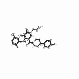 Cc1ccc(Cl)cc1Nc1c(C(=O)N2CCC(c3ccc(F)cc3)CC2)cn(CCO)c(=O)c1Cl